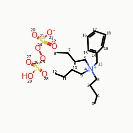 CCCC[N+](CCCC)(CCCC)Cc1ccccc1.O=S(=O)([O-])OOS(=O)(=O)O